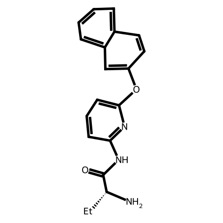 CC[C@@H](N)C(=O)Nc1cccc(Oc2ccc3ccccc3c2)n1